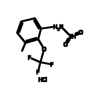 Cc1cccc(C)c1OC(F)(F)F.Cl.N[SH](=O)=O